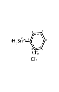 [Cl-].[Cl-].[SnH3+2][c]1ccccc1